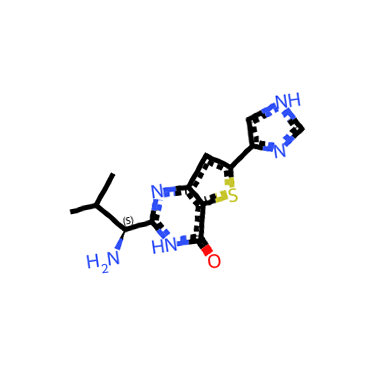 CC(C)[C@H](N)c1nc2cc(-c3c[nH]cn3)sc2c(=O)[nH]1